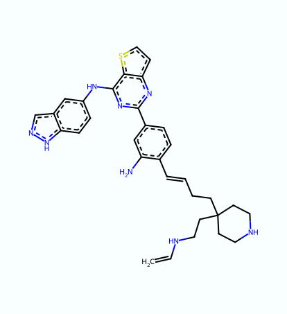 C=CNCCC1(CC/C=C/c2ccc(-c3nc(Nc4ccc5[nH]ncc5c4)c4sccc4n3)cc2N)CCNCC1